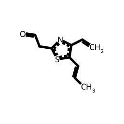 C=Cc1nc(CC=O)sc1C=CC